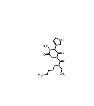 CCCCCN(CC)C(=S)N1CC(=O)N(C)C(C2=CCNC2)C1=O